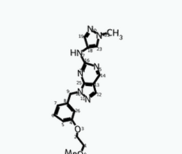 COCCOc1cccc(Cn2ncc3cnc(Nc4cnn(C)c4)nc32)c1